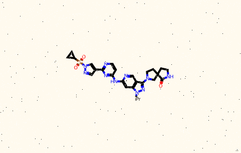 CC(C)n1nc(N2CCC3(CCNC3=O)C2)c2cnc(Nc3ccnc(-c4cnn(S(=O)(=O)C5CC5)c4)n3)cc21